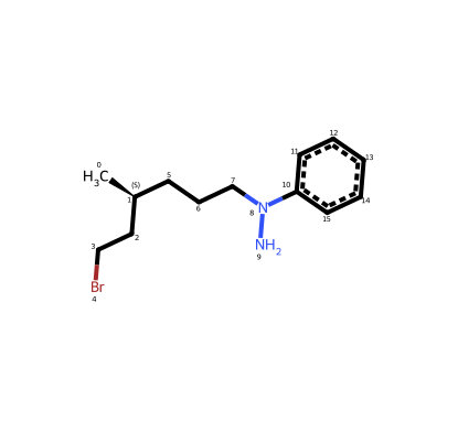 C[C@H](CCBr)CCCN(N)c1ccccc1